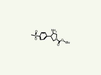 CC(C)(C)OC(=O)N1CC(N)C(c2ccc(S(C)(=O)=O)cc2)C1